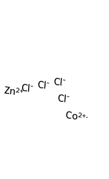 [Cl-].[Cl-].[Cl-].[Cl-].[Co+2].[Zn+2]